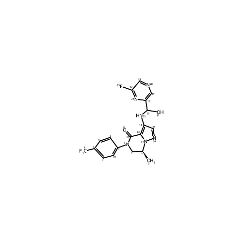 C[C@H]1CN(c2ccc(C(F)(F)F)cc2)C(=O)c2c(NC(O)c3cncc(F)n3)cnn21